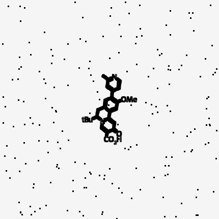 COc1cc2c(cc1-c1ccnc(C)c1)CC(C(C)(C)C)n1cc(C(=O)O)c(=O)cc1-2